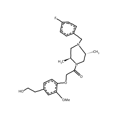 COc1cc(CCO)ccc1OCC(=O)N1C[C@@H](C)N(Cc2ccc(F)cc2)C[C@@H]1C